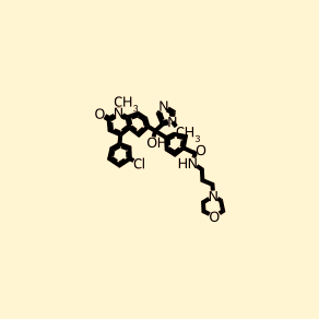 Cn1cncc1C(O)(c1ccc(C(=O)NCCCN2CCOCC2)cc1)c1ccc2c(c1)c(-c1cccc(Cl)c1)cc(=O)n2C